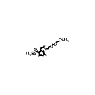 COCCOCOCCn1ccc2c(C(=O)OC)cccc21